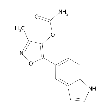 Cc1noc(-c2ccc3[nH]ccc3c2)c1OC(N)=O